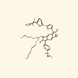 CCCCCCCCC(CCCCCC)CN1C(=O)C(c2ccc(C(C)(C)N)s2)=c2cc3c(cc21)=C(c1ccc(-c2ccc(C(C)(C)N)s2)s1)C(=O)N3